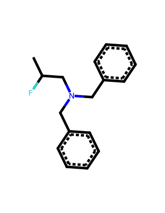 CC(F)CN(Cc1ccccc1)Cc1ccccc1